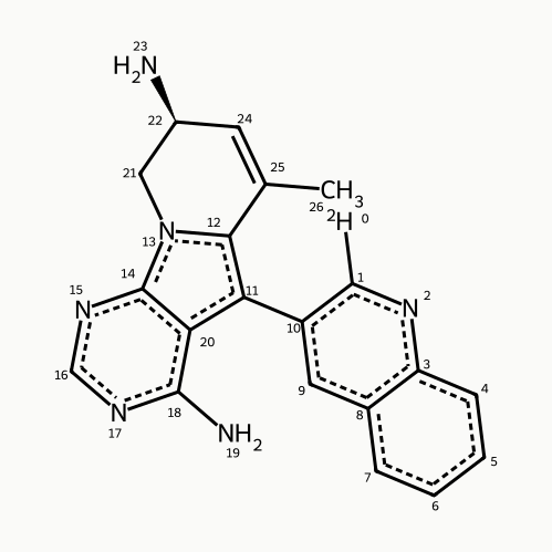 [2H]c1nc2ccccc2cc1-c1c2n(c3ncnc(N)c13)C[C@@H](N)C=C2C